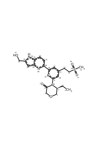 CC[C@H]1COCC(=O)N1c1cc(CCS(C)(=O)=O)cc(-c2ccc3[nH]c(CO)cc3n2)n1